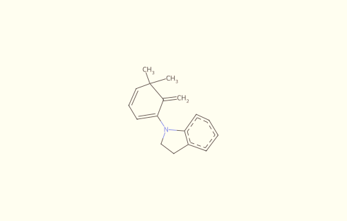 C=C1C(N2CCc3ccccc32)=CC=CC1(C)C